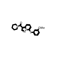 COc1cccc(Sc2cccc3c(C(=O)N4CCCCC4)cnn23)c1